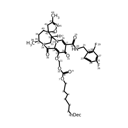 CCCCCCCCCCCCCCCCOC(=O)OCOc1c2n(cc(C(=O)NCc3ccc(F)cc3F)c1=O)[C@@H]1CN(C2=O)[C@@H](C)CC[C@]12CC(C)=NO2